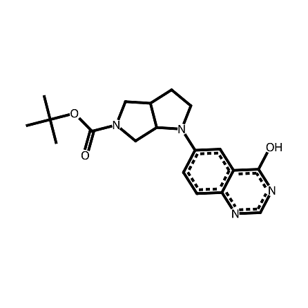 CC(C)(C)OC(=O)N1CC2CCN(c3ccc4ncnc(O)c4c3)C2C1